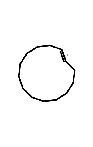 [CH]1CCC/C=C/CCCCCCCC1